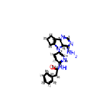 Nc1ncnc2c3c(n(-c4ccc(NC(=O)Cc5ccccc5)nc4)c12)CCC3